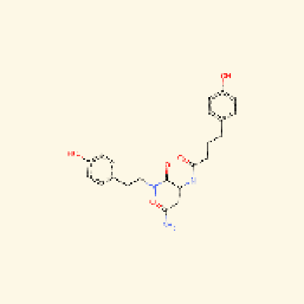 NC(=O)CC(NC(=O)CCCc1ccc(O)cc1)C(=O)NCCc1ccc(O)cc1